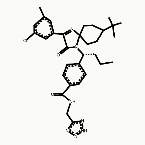 CCC[C@H](c1ccc(C(=O)NCc2nn[nH]n2)cc1)N1C(=O)C(c2cc(C)cc(Cl)c2)=NC12CCC(C(C)(C)C)CC2